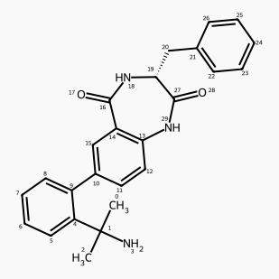 CC(C)(N)c1ccccc1-c1ccc2c(c1)C(=O)N[C@H](Cc1ccccc1)C(=O)N2